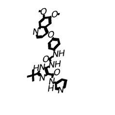 COc1cc2nccc(Oc3ccc(NC(=O)Nc4[nH]c(C(C)(C)C)nc4C(=O)Nc4cccnc4)cc3)c2cc1OC